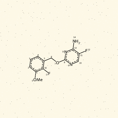 COc1cccc(COc2ncc(F)c(N)n2)c1F